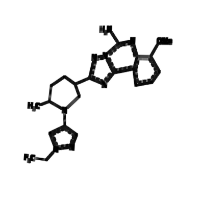 COc1cccc2c1nc(N)n1nc(C3CCC(C)N(c4cnn(CC(F)(F)F)c4)C3)nc21